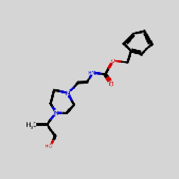 CC(CO)N1CCN(CCNC(=O)OCc2ccccc2)CC1